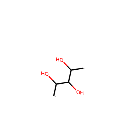 [CH2]C(O)C(O)C([CH2])O